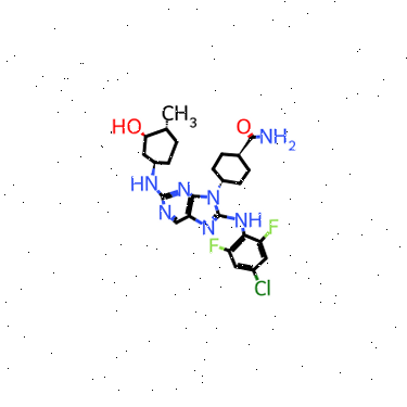 C[C@@H]1CC[C@@H](Nc2ncc3nc(Nc4c(F)cc(Cl)cc4F)n([C@H]4CC[C@H](C(N)=O)CC4)c3n2)C[C@H]1O